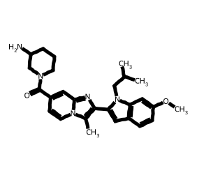 COc1ccc2cc(-c3nc4cc(C(=O)N5CCCC(N)C5)ccn4c3C)n(CC(C)C)c2c1